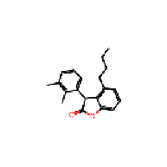 CCCCc1cccc2c1C(c1cccc(C)c1C)C(=O)O2